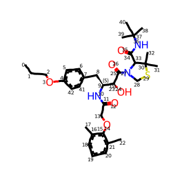 CCCOc1ccc(C[C@H](NC(=O)COc2c(C)cccc2C)[C@H](O)C(=O)N2CSC(C)(C)C2C(=O)NC(C)(C)C)cc1